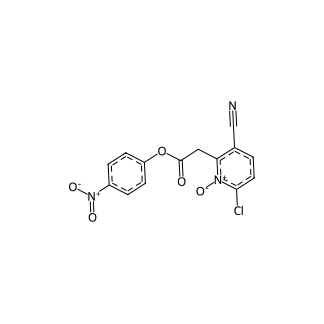 N#Cc1ccc(Cl)[n+]([O-])c1CC(=O)Oc1ccc([N+](=O)[O-])cc1